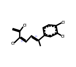 C=C(Cl)/C(Cl)=C\C=C(/C)c1ccc(Cl)c(Cl)c1